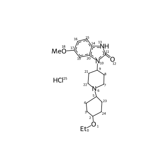 CCOC1CCC(N2CCC(n3c(=O)[nH]c4ccc(OC)cc43)CC2)CC1.Cl